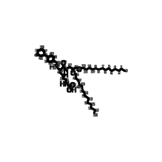 CCCCCCCCCCCCCCOCC(CNC(=O)[C@H](CCCCNC(=O)O)NCc1ccc(-c2ccccc2)cc1)OCCCCCCCCCCCCCC